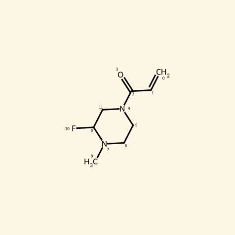 C=CC(=O)N1CCN(C)C(F)C1